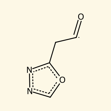 O=[C]Cc1nnco1